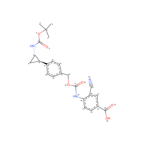 CC(C)(C)OC(=O)N[C@H]1C[C@@H]1c1ccc(COC(=O)Nc2ccc(C(=O)O)cc2C#N)cc1